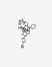 C=C(C#N)\C=C/C(=C\C)C(=C/C1=C(CC)N(C(=N)C2=C(NC3CCCCC3)CCN(C(=C)NC)C2)CCC1)/C(C)C#N